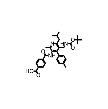 Cc1ccc(-c2c(CNC(=O)OC(C)(C)C)c(CC(C)C)nc(C)c2NC(=O)c2ccc(C(=O)O)cc2)cc1